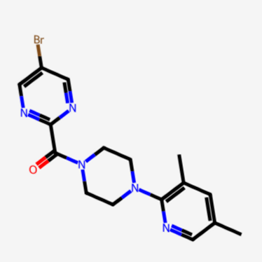 Cc1cnc(N2CCN(C(=O)c3ncc(Br)cn3)CC2)c(C)c1